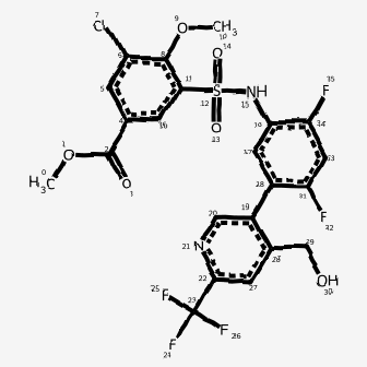 COC(=O)c1cc(Cl)c(OC)c(S(=O)(=O)Nc2cc(-c3cnc(C(F)(F)F)cc3CO)c(F)cc2F)c1